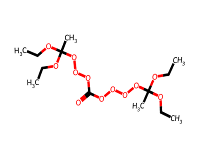 CCOC(C)(OCC)OOOOC(=O)OOOC(C)(OCC)OCC